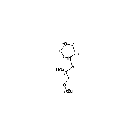 CC(C)(C)OCC(O)CN1CCOCC1